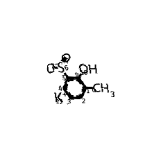 Cc1cccc(S(=O)[O-])c1O.[K+]